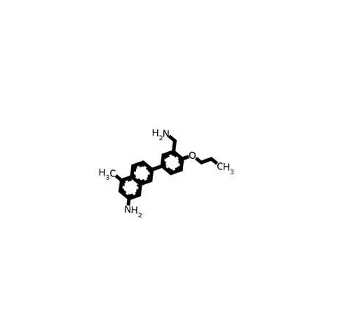 CCCOc1ccc(-c2ccc3c(C)cc(N)cc3c2)cc1CN